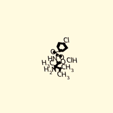 CC(C)C(C)(N)C(=O)NS(=O)(=O)c1ccc(Cl)cc1.Cl